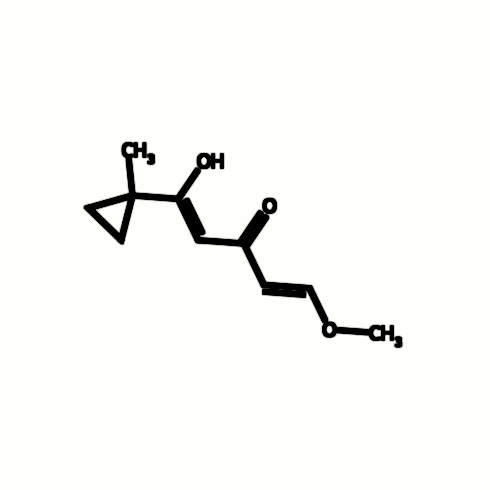 COC=CC(=O)C=C(O)C1(C)CC1